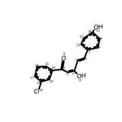 O=C(/C=C(O)\C=C\c1ccc(O)cc1)c1cccc(Cl)c1